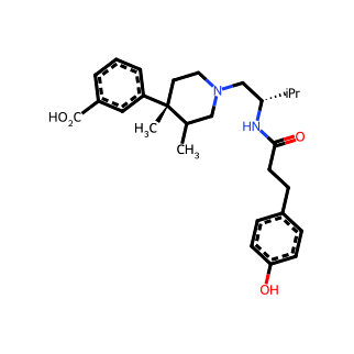 CC(C)[C@@H](CN1CC[C@@](C)(c2cccc(C(=O)O)c2)C(C)C1)NC(=O)CCc1ccc(O)cc1